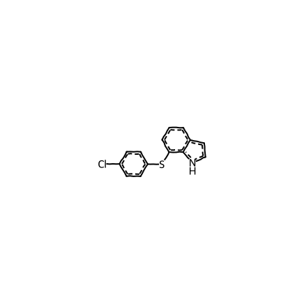 Clc1ccc(Sc2cccc3cc[nH]c23)cc1